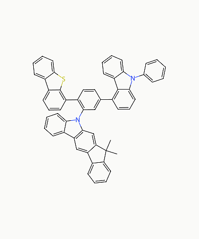 CC1(C)c2ccccc2-c2cc3c4ccccc4n(-c4cc(-c5cccc6c5c5ccccc5n6-c5ccccc5)ccc4-c4cccc5c4sc4ccccc45)c3cc21